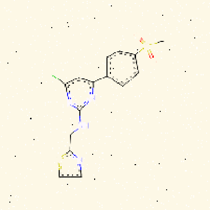 CS(=O)(=O)c1ccc(-c2cc(Cl)nc(NCc3nccs3)n2)cc1